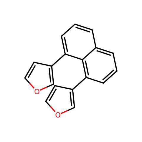 c1cc(-c2ccoc2)c2c(-c3ccoc3)cccc2c1